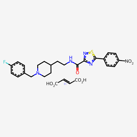 O=C(NCCC1CCN(Cc2ccc(F)cc2)CC1)c1nsc(-c2ccc([N+](=O)[O-])cc2)n1.O=C(O)/C=C/C(=O)O